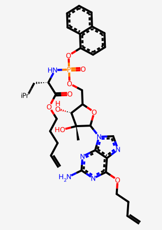 C=CCCCOC(=O)[C@H](CC(C)C)NP(=O)(OCC1OC(n2cnc3c(OCCC=C)nc(N)nc32)[C@](C)(O)[C@@H]1O)Oc1cccc2ccccc12